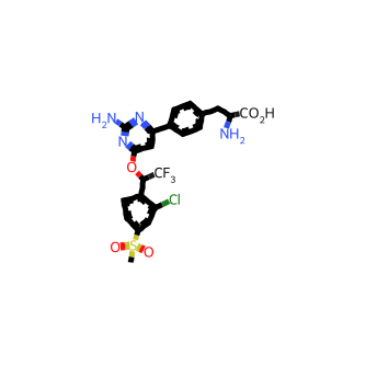 CS(=O)(=O)c1ccc(C(Oc2cc(-c3ccc(CC(N)C(=O)O)cc3)nc(N)n2)C(F)(F)F)c(Cl)c1